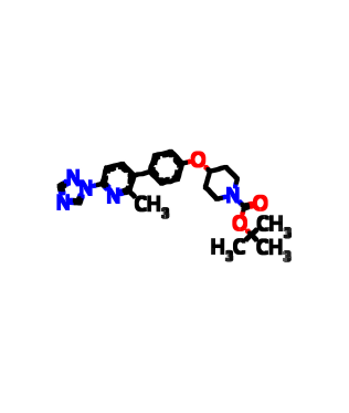 Cc1nc(-n2cncn2)ccc1-c1ccc(OC2CCN(C(=O)OC(C)(C)C)CC2)cc1